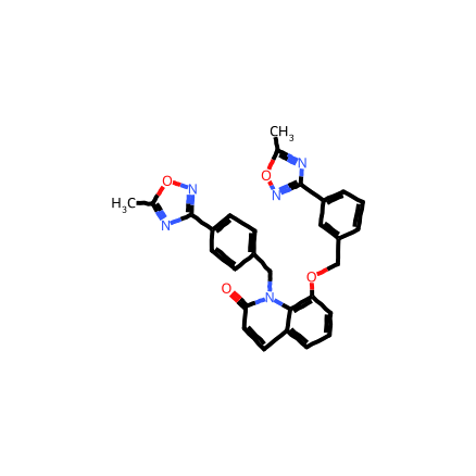 Cc1nc(-c2ccc(Cn3c(=O)ccc4cccc(OCc5cccc(-c6noc(C)n6)c5)c43)cc2)no1